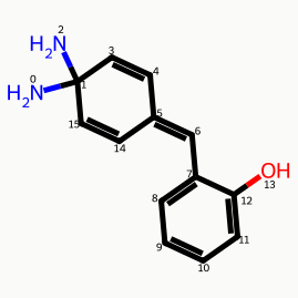 NC1(N)C=CC(=Cc2ccccc2O)C=C1